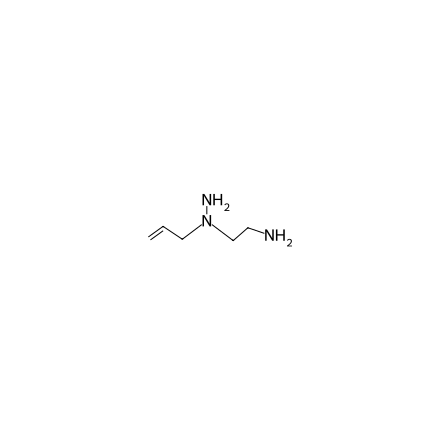 C=CCN(N)CCN